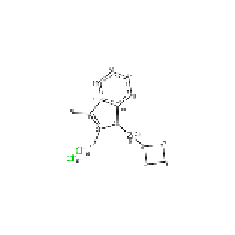 CC1=C(C)[CH]([Zr+2][CH]2CCC2)c2ccccc21.[Cl-].[Cl-]